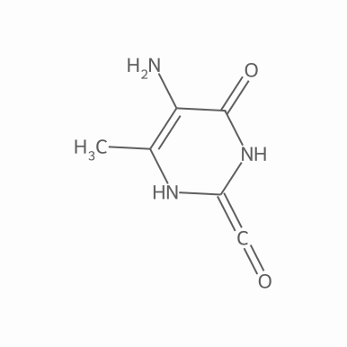 CC1=C(N)C(=O)NC(=C=O)N1